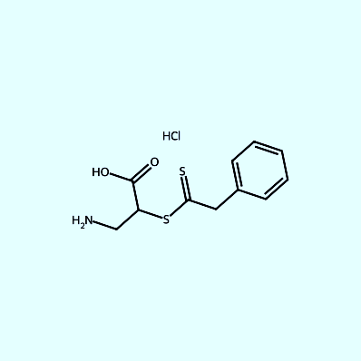 Cl.NCC(SC(=S)Cc1ccccc1)C(=O)O